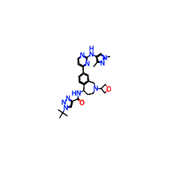 Cc1nn(C)cc1Nc1nccc(-c2ccc3c(c2)CN(C2COC2)CCC3NC(=O)c2cn(C(C)(C)C)nn2)n1